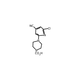 N#Cc1cc(Cl)nc(N2CCN(C(=O)O)CC2)c1